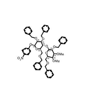 CO[C@H]1[C@@H](OC)[C@@H](COCc2ccccc2)O[C@@H](O[C@H]2[C@H](OCc3ccccc3)[C@@H](OCc3ccccc3)[C@H](Oc3ccc([N+](=O)[O-])cc3)O[C@@H]2COCc2ccccc2)[C@@H]1OCc1ccccc1